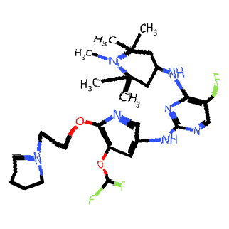 CN1C(C)(C)CC(Nc2nc(Nc3cnc(OCCN4CCCC4)c(OC(F)F)c3)ncc2F)CC1(C)C